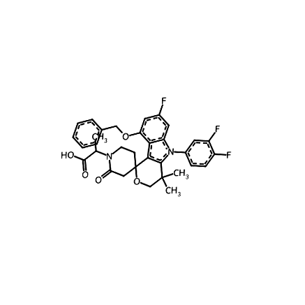 CC(C(=O)O)N1CCC2(CC1=O)OCC(C)(C)c1c2c2c(OCc3ccccc3)cc(F)cc2n1-c1ccc(F)c(F)c1